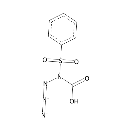 [N-]=[N+]=NN(C(=O)O)S(=O)(=O)c1ccccc1